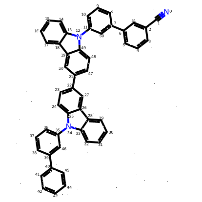 N#Cc1cccc(-c2cccc(-n3c4ccccc4c4cc(-c5ccc6c(c5)c5ccccc5n6-c5cccc(-c6ccccc6)c5)ccc43)c2)c1